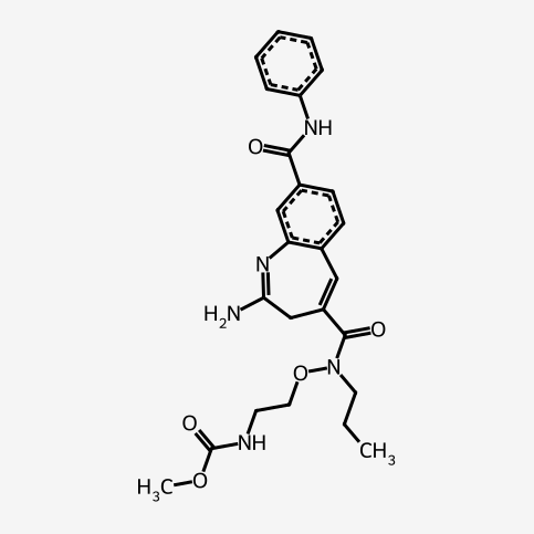 CCCN(OCCNC(=O)OC)C(=O)C1=Cc2ccc(C(=O)Nc3ccccc3)cc2N=C(N)C1